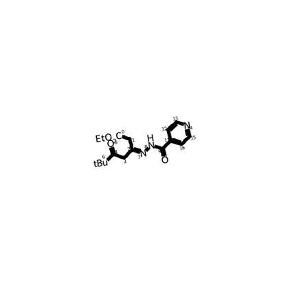 CCOC(=O)C/C(CC(=O)C(C)(C)C)=N\NC(=O)c1ccncc1